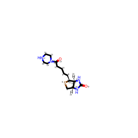 O=C1N[C@H]2[C@H](CS[C@H]2CCCCC(=O)N2CCNCC2)N1